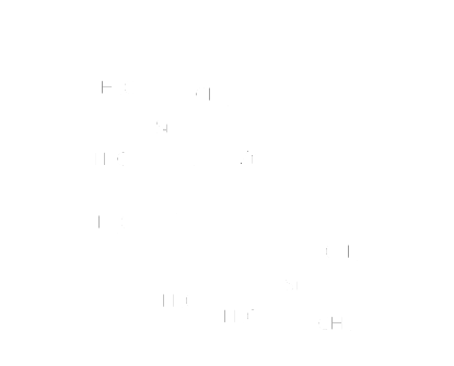 CC(=C[Si](C)(C)C)C(C)=[C]([Zr][C]1=CC=CC1)[Si](C)(C)C